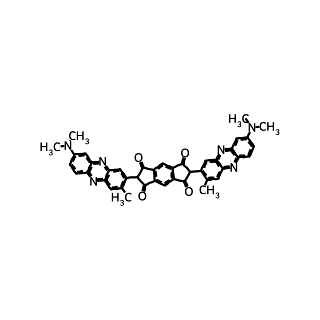 Cc1cc2nc3ccc(N(C)C)cc3nc2cc1C1C(=O)c2cc3c(cc2C1=O)C(=O)C(c1cc2nc4cc(N(C)C)ccc4nc2cc1C)C3=O